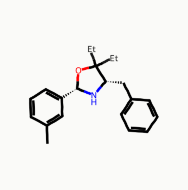 CCC1(CC)O[C@@H](c2cccc(C)c2)N[C@H]1Cc1ccccc1